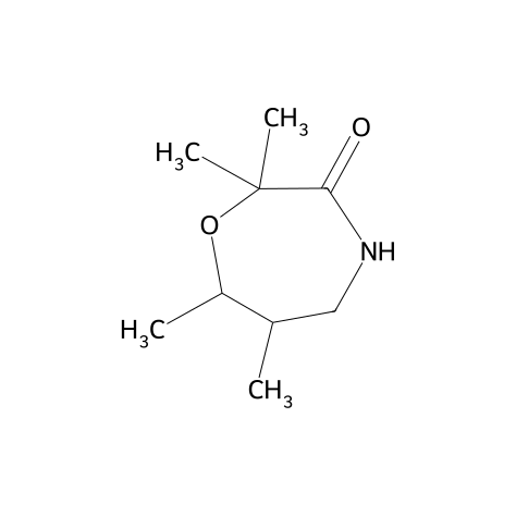 CC1CNC(=O)C(C)(C)OC1C